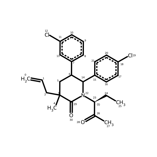 C=CCC1(C)CC(c2cccc(Cl)c2)C(c2ccc(Cl)cc2)N([C@@H](CC)C(C)=O)C1=O